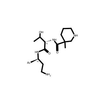 CC(=O)[C@H](CCN)NC(=O)[C@@H](NC(=O)C1(C)CCCNC1)C(C)O